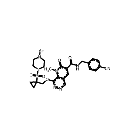 CC(=O)N1CCN(S(=O)(=O)C2(COc3nncc4cc(C(=O)NCc5ccc(C#N)cc5)c(=O)n(C)c34)CC2)CC1